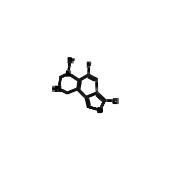 Fc1cc2c(Cl)occ2c2c1N(Br)CNC2